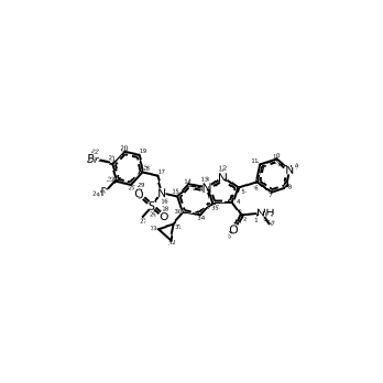 CNC(=O)c1c(-c2ccncc2)nn2cc(N(Cc3ccc(Br)c(F)c3)S(C)(=O)=O)c(C3CC3)cc12